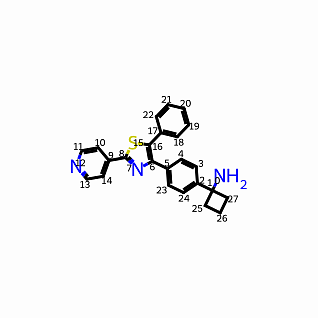 NC1(c2ccc(-c3nc(-c4ccncc4)sc3-c3ccccc3)cc2)CCC1